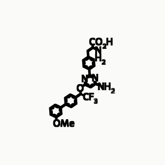 COc1cccc(-c2ccc([C@@H](Oc3cc(N)nc(-c4ccc(CC(N)C(=O)O)cc4)n3)C(F)(F)F)cc2)c1